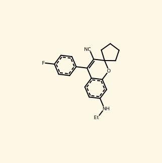 CCNc1ccc2c(c1)OC1(CCCC1)C(C#N)=C2c1ccc(F)cc1